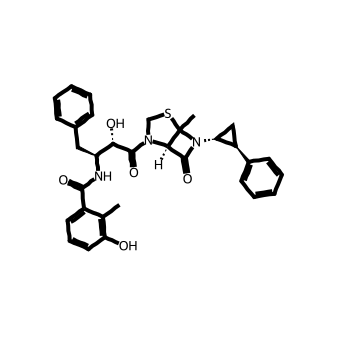 Cc1c(O)cccc1C(=O)N[C@@H](Cc1ccccc1)[C@H](O)C(=O)N1CSC2(C)[C@H]1C(=O)N2[C@@H]1C[C@H]1c1ccccc1